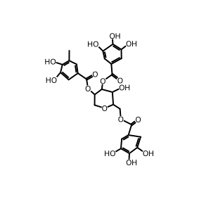 Cc1cc(C(=O)OC2COC(COC(=O)c3cc(O)c(O)c(O)c3)C(O)C2OC(=O)c2cc(O)c(O)c(O)c2)cc(O)c1O